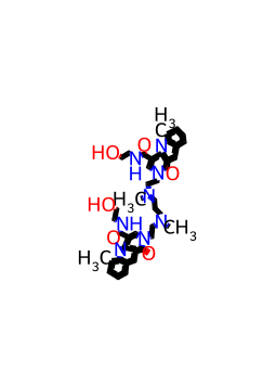 Cc1cccc2cc3c(=O)n(CCN(C)CCCN(C)CCn4cc(C(=O)NCCO)c5nc6c(C)cccc6cc5c4=O)cc(C(=O)NCCO)c3nc12